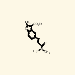 CCOC(=O)c1c(C)oc2ccc(/C=C/C(=O)N(C)C)cc12